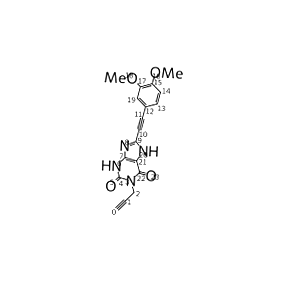 C#CCn1c(=O)[nH]c2nc(C#Cc3ccc(OC)c(OC)c3)[nH]c2c1=O